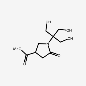 COC(=O)C1CC(=O)N(C(CO)(CO)CO)C1